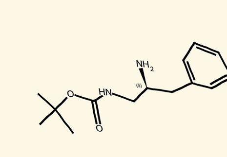 CC(C)(C)OC(=O)NC[C@@H](N)Cc1ccccc1